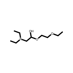 CCOCCOC(O)CN(CC)CC